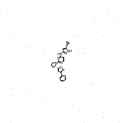 c1ccc(-c2cc([C@@H]3CCCN3c3nccc(Nc4cc(C5CC5)[nH]n4)n3)on2)nc1